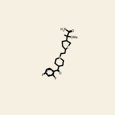 COC(C)(C(N)=O)C1CCC(CCN2CCC(C(=O)c3ccc(F)cc3F)CC2)CC1